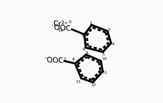 O=C([O-])c1ccccc1.O=C([O-])c1ccccc1.[Cr+2]